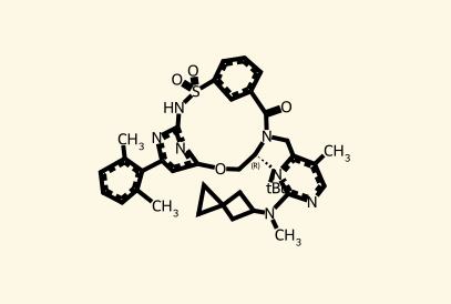 Cc1cnc(N(C)C2CC3(CC3)C2)nc1CN1C(=O)c2cccc(c2)S(=O)(=O)Nc2nc(cc(-c3c(C)cccc3C)n2)OC[C@H]1CC(C)(C)C